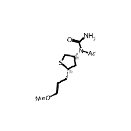 COCCC[C@H]1C[C@@H](N(C(C)=O)C(N)=O)CS1